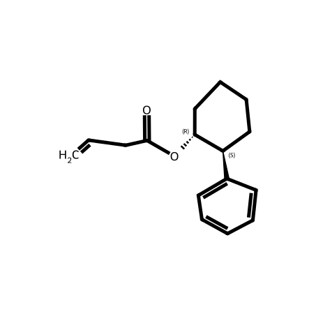 C=CCC(=O)O[C@@H]1CCCC[C@H]1c1ccccc1